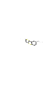 Cc1cc2sc3ccc(CC(C)(C)C)cc3c2s1